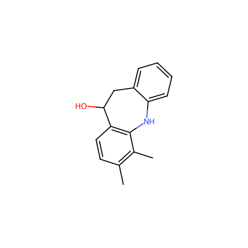 Cc1ccc2c(c1C)Nc1ccccc1CC2O